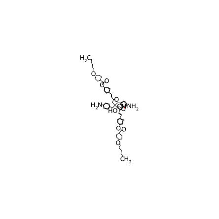 C=CCCCCOC1CCC(C(=O)Oc2ccc(C=CC(=O)CC(Cc3ccc(N)cc3)(Cc3ccc(N)cc3)C(O)(O)C(=O)C=Cc3ccc(OC(=O)C4CCC(OCCCCC=C)CC4)cc3)cc2)CC1